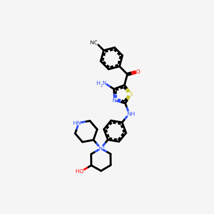 N#Cc1ccc(C(=O)c2sc(Nc3ccc([N+]4(C5CCNCC5)CCCC(O)C4)cc3)nc2N)cc1